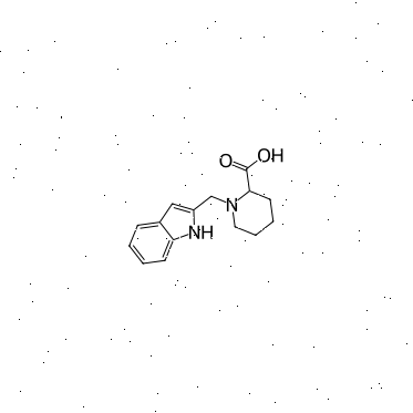 O=C(O)C1CCCCN1Cc1cc2ccccc2[nH]1